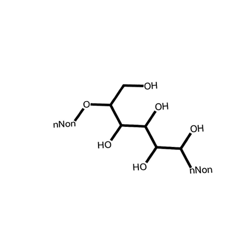 CCCCCCCCCOC(CO)C(O)C(O)C(O)C(O)CCCCCCCCC